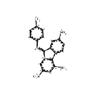 O=[N+]([O-])c1ccc2c(c1)/C(=N\c1ccc(C(F)(F)F)cc1)c1cc([N+](=O)[O-])cc([N+](=O)[O-])c1-2